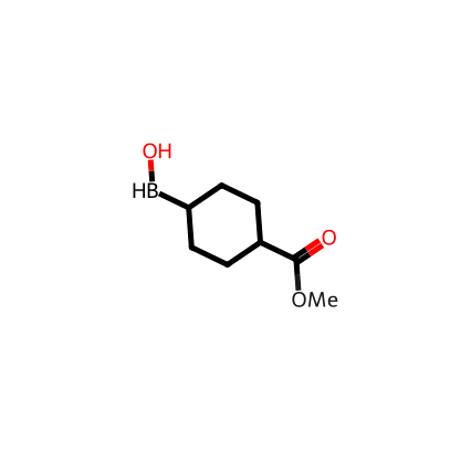 COC(=O)C1CCC(BO)CC1